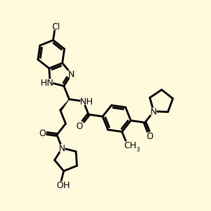 Cc1cc(C(=O)N[C@@H](CCC(=O)N2CCC(O)C2)c2nc3cc(Cl)ccc3[nH]2)ccc1C(=O)N1CCCC1